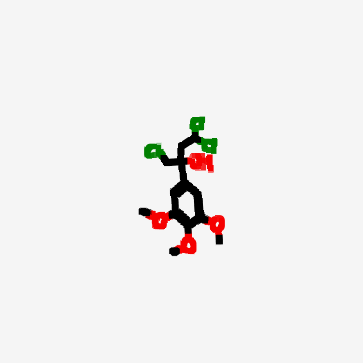 COc1cc(C(O)(CCl)CC(Cl)Cl)cc(OC)c1OC